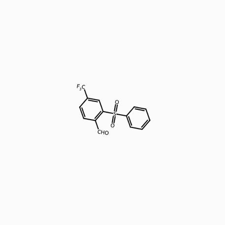 O=Cc1ccc(C(F)(F)F)cc1S(=O)(=O)c1ccccc1